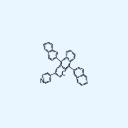 c1ccc2cc(-c3c4ccccc4c(-c4ccc5ccccc5c4)c4cc(-c5ccncc5)ccc34)ccc2c1